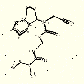 C#CCN(C(=O)OCOC(=O)C(C)CC(C)CC)C1CCc2ccccc21